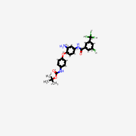 CC(C)(C)OC(=O)Nc1ccc(Oc2ccc(NC(=O)c3cc(F)cc(C(F)(F)F)c3)cc2N)cc1